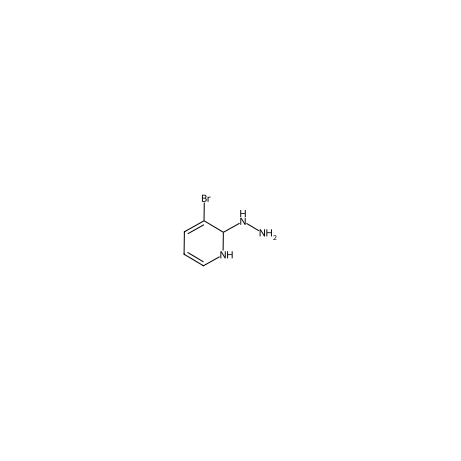 NNC1NC=CC=C1Br